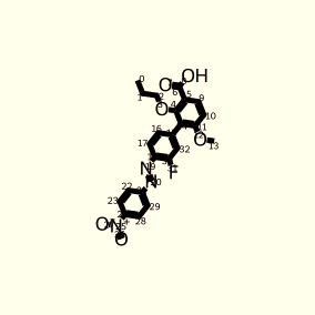 CCCOc1c(C(=O)O)ccc(OC)c1-c1ccc(/N=N/c2ccc([N+](=O)[O-])cc2)c(F)c1